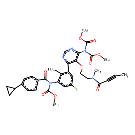 CC#CC(=O)N(C)CCOc1c(-c2cc(F)cc(N(C(=O)OC(C)(C)C)C(=O)c3ccc(C4CC4)cc3)c2C)ncnc1N(C(=O)OC(C)(C)C)C(=O)OC(C)(C)C